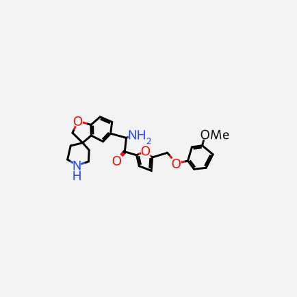 COc1cccc(OCc2ccc(C(=O)C(N)c3ccc4c(c3)C3(CCNCC3)CO4)o2)c1